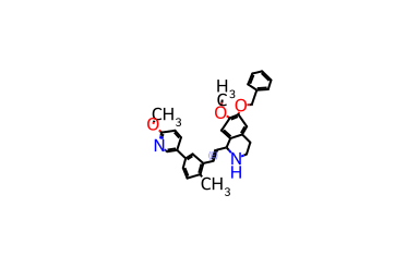 COc1ccc(-c2ccc(C)c(/C=C/C3NCCc4cc(OCc5ccccc5)c(OC)cc43)c2)cn1